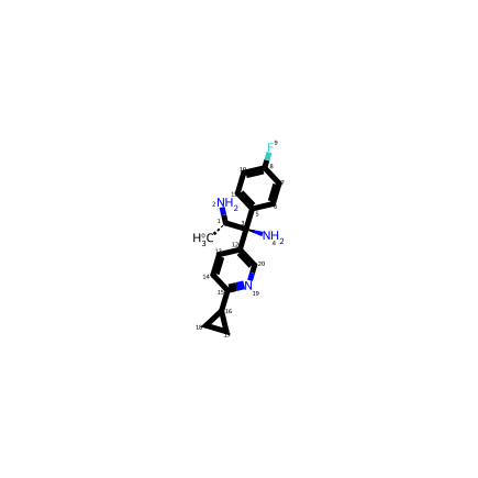 C[C@H](N)[C@](N)(c1ccc(F)cc1)c1ccc(C2CC2)nc1